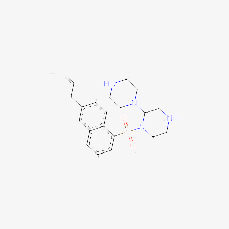 C=CCc1ccc2c(S(=O)(=O)N3CCNC[C]3N3CCNCC3)cccc2c1